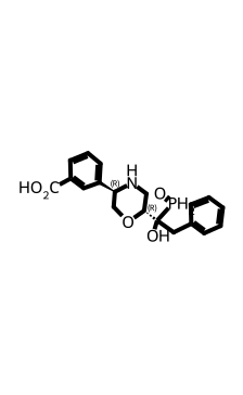 O=[PH2]C(O)(Cc1ccccc1)[C@H]1CN[C@H](c2cccc(C(=O)O)c2)CO1